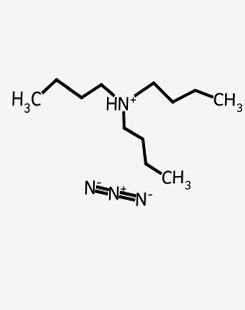 CCCC[NH+](CCCC)CCCC.[N-]=[N+]=[N-]